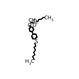 CCCCCCCCCSc1ccc(-c2ccc(O[C@H](C)C(=O)OCCCCC)cc2)cc1